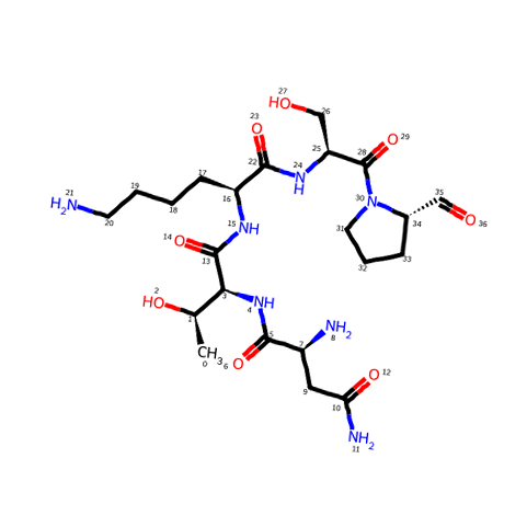 C[C@@H](O)[C@H](NC(=O)[C@@H](N)CC(N)=O)C(=O)N[C@@H](CCCCN)C(=O)N[C@@H](CO)C(=O)N1CCC[C@H]1[C]=O